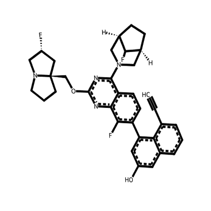 C#Cc1cccc2cc(O)cc(-c3ccc4c(N5C[C@H]6CC[C@@H](C5)C6F)nc(OC[C@@]56CCCN5C[C@H](F)C6)nc4c3F)c12